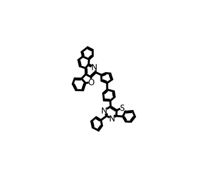 c1ccc(-c2nc(-c3ccc(-c4cccc(-c5nc6c7ccccc7ccc6c6c5oc5ccccc56)c4)cc3)c3sc4ccccc4c3n2)cc1